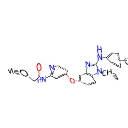 CCc1ccc(Nc2nc3cc(Oc4ccnc(NC(=O)COC)c4)ccc3n2C)cc1